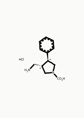 Cl.NC[C@H]1CN(C(=O)O)C[C@@H]1c1ccccc1